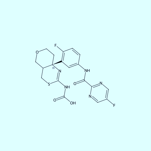 O=C(O)NC1=N[C@@]2(c3cc(NC(=O)c4ncc(F)cn4)ccc3F)CCOCC2CS1